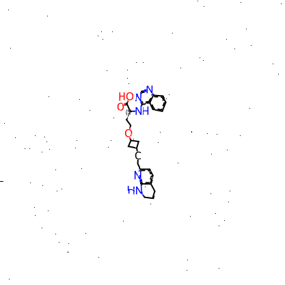 O=C(O)[C@H](CCOC1CC(CCc2ccc3c(n2)NCCC3)C1)Nc1ncnc2ccccc12